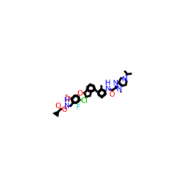 COc1cc(OC2CCc3c(-c4cccc(NC(=O)c5nc6c(n5C)CCN(C(C)C)C6)c4C)cccc32)c(Cl)c(F)c1CNOC(=O)C1CC1